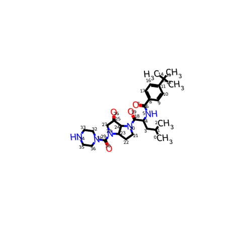 CC(C)CC(NC(=O)c1ccc(C(C)(C)C)cc1)C(=O)N1CCC2C1C(=O)CN2C(=O)N1CCNCC1